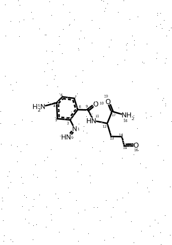 N=Nc1cc(N)ccc1C(=O)NC(CCC=O)C(N)=O